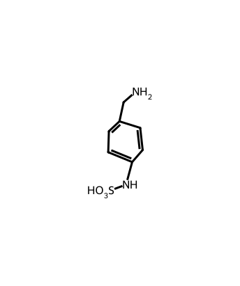 NCc1ccc(NS(=O)(=O)O)cc1